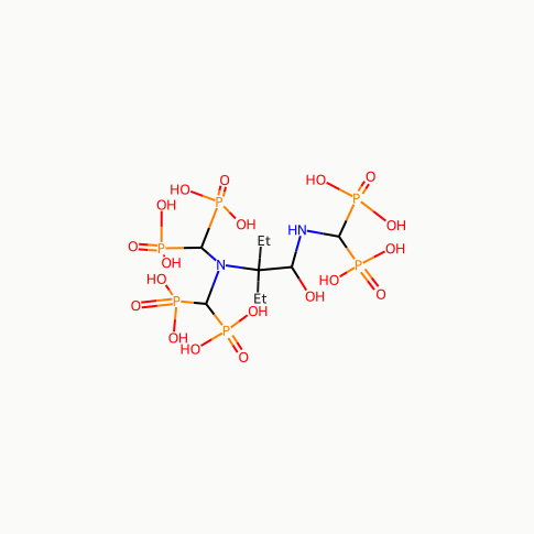 CCC(CC)(C(O)NC(P(=O)(O)O)P(=O)(O)O)N(C(P(=O)(O)O)P(=O)(O)O)C(P(=O)(O)O)P(=O)(O)O